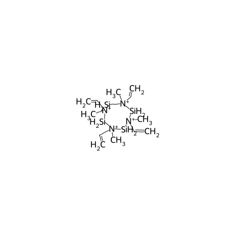 C=C[N+]1(C)[SiH2][N+](C)(C=C)[SiH2][N+](C)(C=C)[SiH2][N+](C)(C=C)[SiH2]1